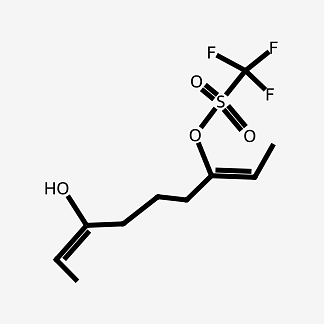 CC=C(CCC/C(O)=C\C)OS(=O)(=O)C(F)(F)F